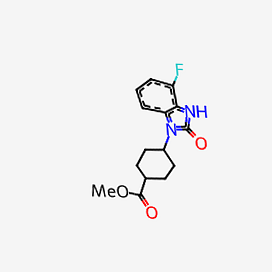 COC(=O)C1CCC(n2c(=O)[nH]c3c(F)cccc32)CC1